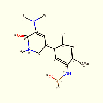 CCN(CC)C1=CC(C2C=C(N[S+](C)[O-])C(OC)=CC2C)CN(C)C1=O